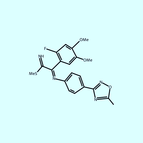 COc1cc(F)c(/C(=N\c2ccc(-c3noc(C)n3)cc2)C(=N)SC)cc1OC